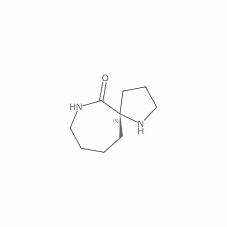 O=C1NCCCC[C@]12CCCN2